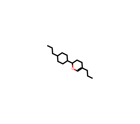 CCCC1=COC(C2CCC(CCC)CC2)CC1